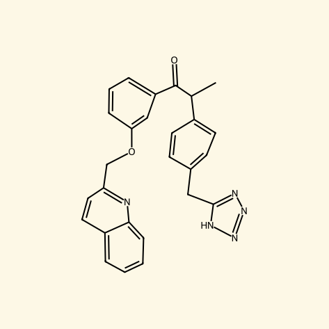 CC(C(=O)c1cccc(OCc2ccc3ccccc3n2)c1)c1ccc(Cc2nnn[nH]2)cc1